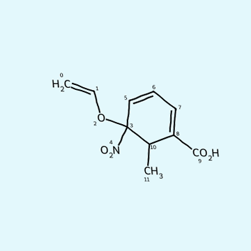 C=COC1([N+](=O)[O-])C=CC=C(C(=O)O)C1C